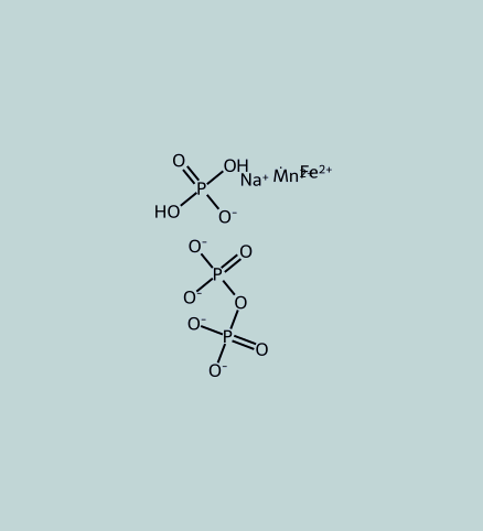 O=P([O-])(O)O.O=P([O-])([O-])OP(=O)([O-])[O-].[Fe+2].[Mn+2].[Na+]